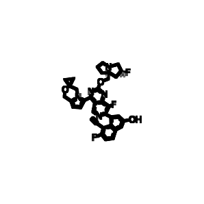 C#Cc1c(F)ccc2cc(O)cc(-c3ncc4c(-c5ccc6n5CC5(CC5)OC6)nc(OC[C@@]56CCCN5C[C@H](F)C6)nc4c3F)c12